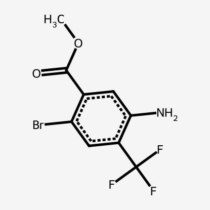 COC(=O)c1cc(N)c(C(F)(F)F)cc1Br